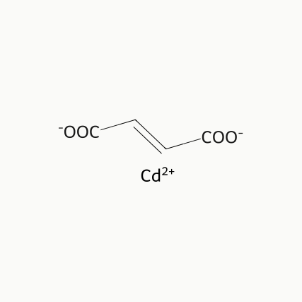 O=C([O-])C=CC(=O)[O-].[Cd+2]